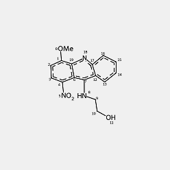 COc1ccc([N+](=O)[O-])c2c(NCCO)c3ccccc3nc12